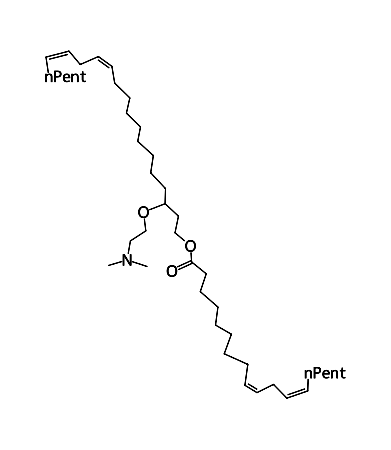 CCCCC/C=C\C/C=C\CCCCCCCCC(CCOC(=O)CCCCCCC/C=C\C/C=C\CCCCC)OCCN(C)C